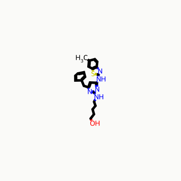 Cc1ccc2nc(Nc3cc(Cc4ccccc4)nc(NCCCCCO)n3)sc2c1